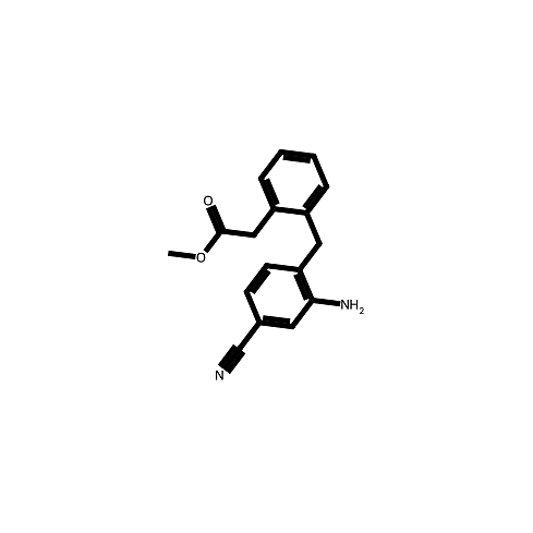 COC(=O)Cc1ccccc1Cc1ccc(C#N)cc1N